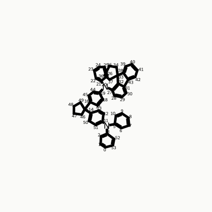 c1ccc(N(c2ccccc2)c2ccc(C3(c4ccc(N(c5ccccc5)c5cccc6c5C5(CCCC5)c5ccccc5-6)cc4)CCCC3)cc2)cc1